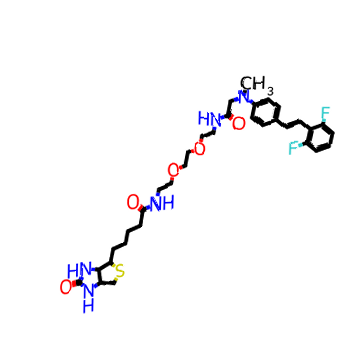 CN(CC(=O)NCCOCCOCCNC(=O)CCCCC1SCC2NC(=O)NC21)c1ccc(/C=C/c2c(F)cccc2F)cc1